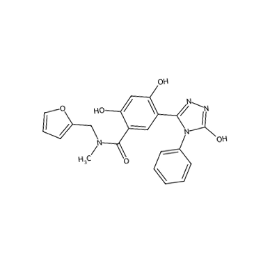 CN(Cc1ccco1)C(=O)c1cc(-c2nnc(O)n2-c2ccccc2)c(O)cc1O